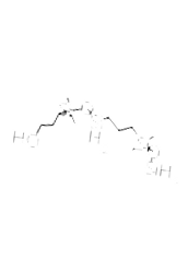 C[Si](C)(CCC[SiH2]O[Si](C)(C)CCCO)O[SiH3]